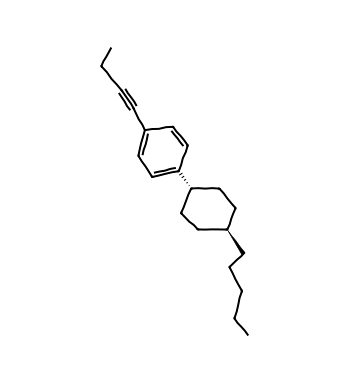 CCC#Cc1ccc([C@H]2CC[C@H](CCCCC)CC2)cc1